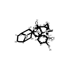 CS(=O)(=O)c1ccc(N2C3CCC2CC(N(C(=O)C2CC2)c2ccc(F)c(Cl)c2)C3)nc1